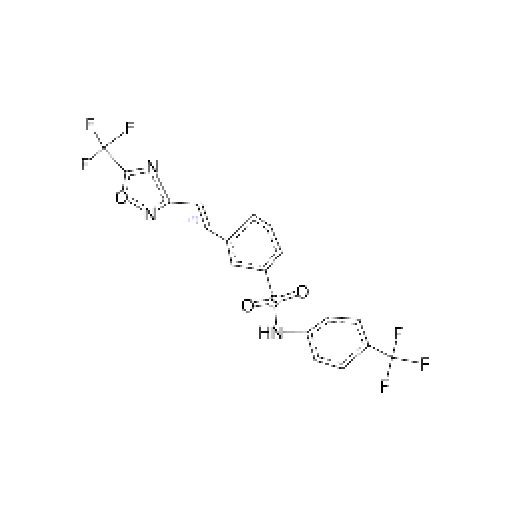 O=S(=O)(Nc1ccc(C(F)(F)F)cc1)c1cccc(/C=C/c2noc(C(F)(F)F)n2)c1